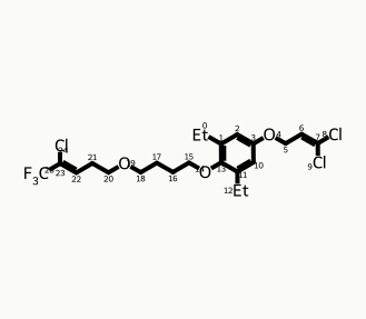 CCc1cc(OCC=C(Cl)Cl)cc(CC)c1OCCCCOCCC=C(Cl)C(F)(F)F